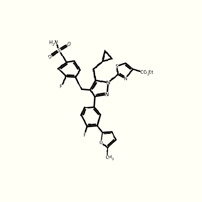 CCOC(=O)c1csc(-n2nc(-c3ccc(F)c(-c4ccc(C)o4)c3)c(Cc3ccc(S(N)(=O)=O)cc3F)c2CC2CC2)n1